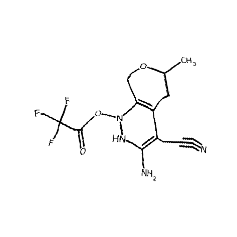 CC1CC2=C(CO1)N(OC(=O)C(F)(F)F)NC(N)=C2C#N